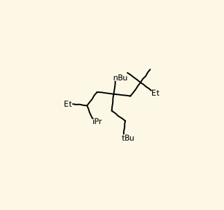 CCCCC(CCC(C)(C)C)(CC(CC)C(C)C)CC(C)(C)CC